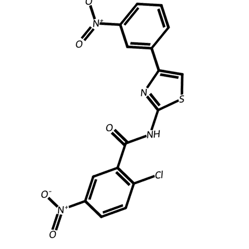 O=C(Nc1nc(-c2cccc([N+](=O)[O-])c2)cs1)c1cc([N+](=O)[O-])ccc1Cl